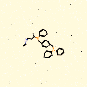 C=C/N=C\CC(C)P(Cc1ccc(CP(C2=CCCC=C2)c2ccccc2)cc1)C1=CCCC=C1